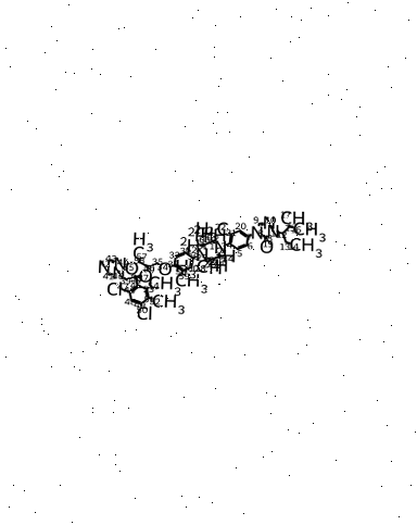 [2H]C1([2H])N(c2ccc(-n3cnn(C(CC)C(C)C)c3=O)cc2C)C([2H])([2H])C([2H])(C)N(c2ccc(OC[C@H]3O[C@](Cn4cncn4)(c4c(Cl)cc(Cl)c(C)c4C)OC3C)c(C)c2)C1([2H])[2H]